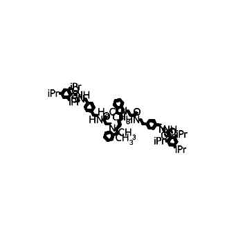 CC(C)c1cc(C(C)C)c(S(=O)(=O)N/N=C/c2ccc(CCNC(=O)CCN3/C(=C/C=C/C4=[N+](CCC(=O)NCCc5ccc(/C=N/NS(=O)(=O)c6c(C(C)C)cc(C(C)C)cc6C(C)C)cc5)c5ccccc5C4(C)C)C(C)(C)c4ccccc43)cc2)c(C(C)C)c1